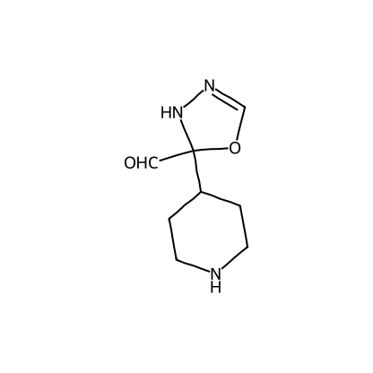 O=CC1(C2CCNCC2)NN=CO1